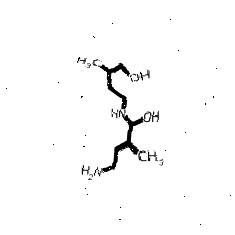 CC(CO)CCNC(O)C(C)CCN